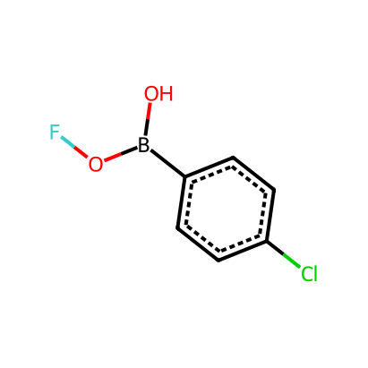 OB(OF)c1ccc(Cl)cc1